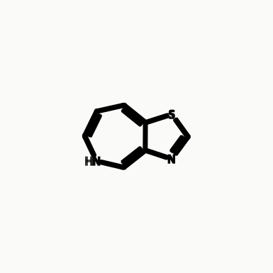 C1=CNC=c2ncsc2=C1